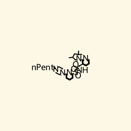 CCCCCN1CCN(c2cccc(S(=O)(=O)NC(=O)c3cccnc3N3CC(C)CC3(C)C)n2)CC1